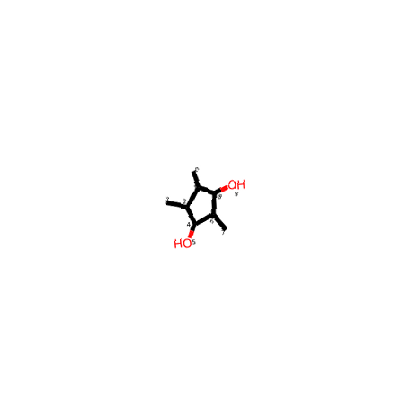 CC1C(C)C(O)C(C)C1O